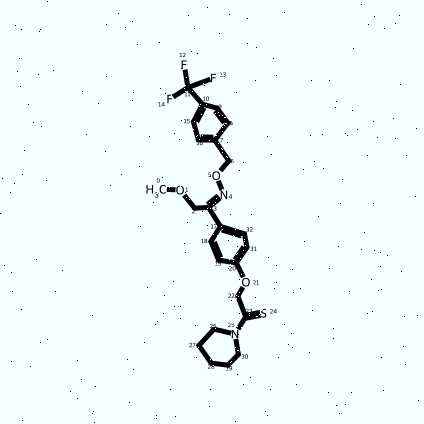 COC/C(=N\OCc1ccc(C(F)(F)F)cc1)c1ccc(OCC(=S)N2CCCCC2)cc1